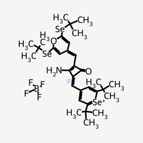 CC(C)(C)[Se]C1=CC(=CC2=C(N)/C(=C/c3cc(C(C)(C)C)[se+]c(C(C)(C)C)c3)C2=O)C=C([Se]C(C)(C)C)O1.F[B-](F)(F)F